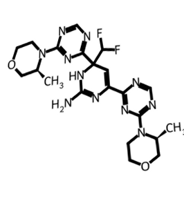 C[C@H]1COCCN1c1ncnc(C2=CC(c3ncnc(N4CCOC[C@@H]4C)n3)(C(F)F)NC(N)=N2)n1